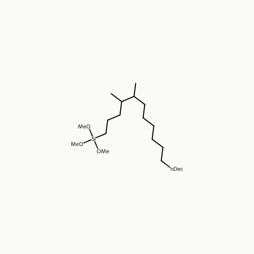 CCCCCCCCCCCCCCCCC(C)[C](C)CCC[Si](OC)(OC)OC